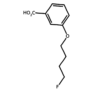 O=C(O)c1cccc(OCCCCF)c1